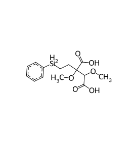 COC(C(=O)O)C(CC[SiH2]c1ccccc1)(OC)C(=O)O